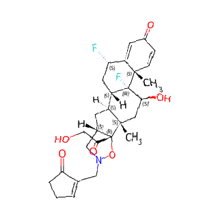 C[C@]12C=CC(=O)C=C1[C@@H](F)C[C@H]1[C@@H]3C[C@H]4CN(CC5=CCCC5=O)O[C@@]4(C(=O)CO)[C@@]3(C)C[C@H](O)[C@@]12F